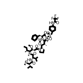 CC[C@H](C)[C@@H]([C@H](CC(=O)N1CCC[C@H]1[C@H](OC)[C@@H](C)C(=O)N[C@@H](Cc1ccccc1)C(=O)NS(=O)(=O)Cc1ccc(NC(=O)C(F)(F)F)cc1)OC)N(C)C(=O)[C@@H](NC(=O)[C@H](C(C)C)N(C)C)C(C)C